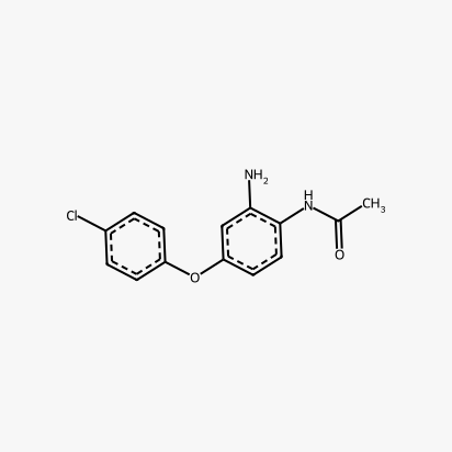 CC(=O)Nc1ccc(Oc2ccc(Cl)cc2)cc1N